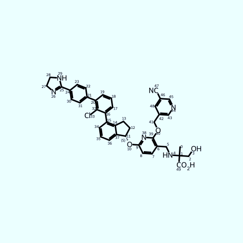 CC(CO)(NCc1ccc(O[C@H]2CCc3c(-c4cccc(-c5ccc(C6=NCCN6)cc5)c4Cl)cccc32)nc1OCc1cncc(C#N)c1)C(=O)O